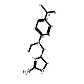 CCN(C[C@H]1COC(N)=N1)c1ccc(C(C)C)cc1